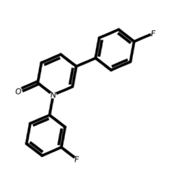 O=c1ccc(-c2ccc(F)cc2)cn1-c1cccc(F)c1